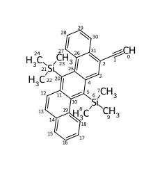 C#Cc1cc2c([Si](C)(C)C)c3c(ccc4ccccc43)c([Si](C)(C)C)c2c2ccccc12